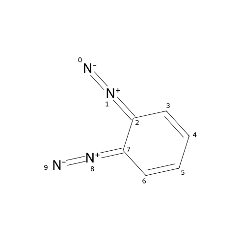 [N-]=[N+]=C1C=CC=CC1=[N+]=[N-]